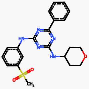 CS(=O)(=O)c1cccc(Nc2nc(NC3CCOCC3)nc(-c3ccccc3)n2)c1